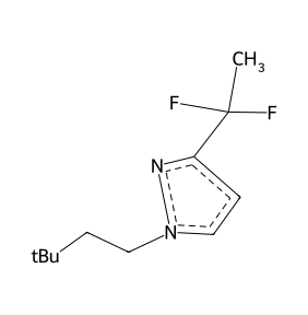 CC(C)(C)CCn1ccc(C(C)(F)F)n1